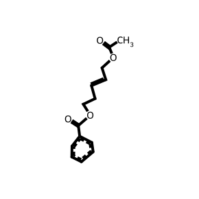 CC(=O)OC/C=C/CCOC(=O)c1ccccc1